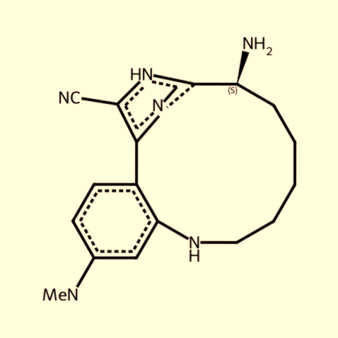 CNc1ccc2c(c1)NCCCCC[C@H](N)c1nc-2c(C#N)[nH]1